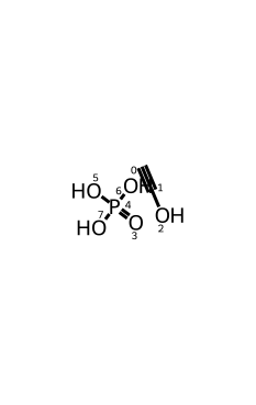 C#CO.O=P(O)(O)O